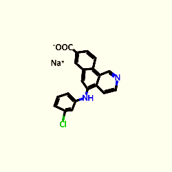 O=C([O-])c1ccc2c(c1)cc(Nc1cccc(Cl)c1)c1ccncc12.[Na+]